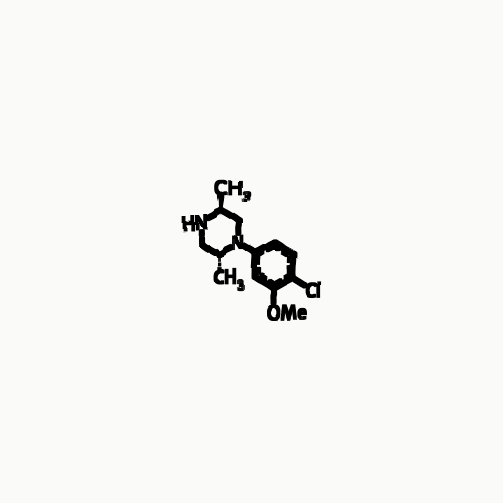 COc1cc(N2C[C@H](C)NC[C@H]2C)ccc1Cl